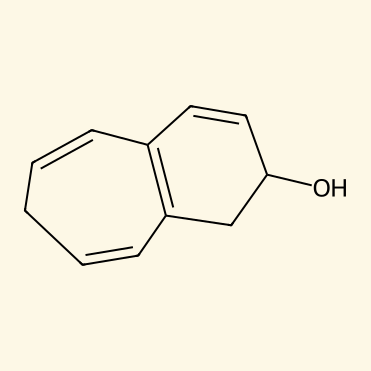 OC1C=CC2=C(C=CCC=C2)C1